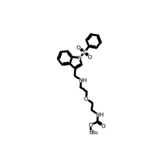 CC(C)(C)OC(=O)NCCOCCNCc1cn(S(=O)(=O)c2ccccc2)c2ccccc12